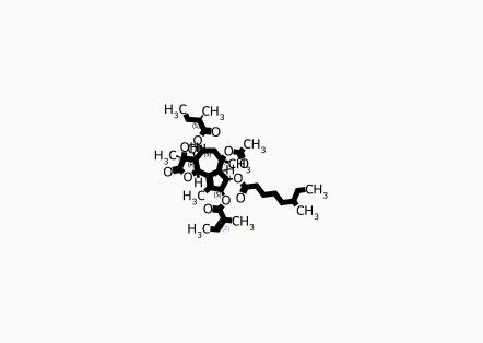 C/C=C(/C)C(=O)O[C@H]1C(C)=C2[C@H]([C@@H]1OC(=O)CCCCC(C)CC)[C@@](C)(OC(C)=O)C[C@H](OC(=O)[C@@H](C)CC)[C@@]1(O)[C@H]2OC(=O)[C@@]1(C)O